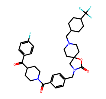 O=C(c1ccc(F)cc1)C1CCN(C(=O)c2ccc(CN3CC4(CCN(CC5CCC(C(F)(F)F)CC5)CC4)OC3=O)cc2)CC1